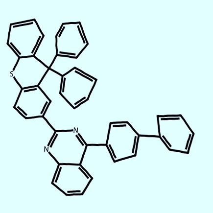 c1ccc(-c2ccc(-c3nc(-c4ccc5c(c4)C(c4ccccc4)(c4ccccc4)c4ccccc4S5)nc4ccccc34)cc2)cc1